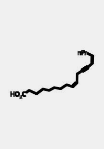 CCC/C=C\C#CC/C=C\CCCCCCCC(=O)O